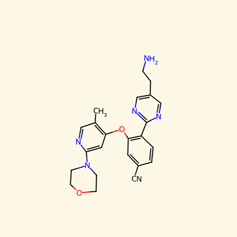 Cc1cnc(N2CCOCC2)cc1Oc1cc(C#N)ccc1-c1ncc(CCN)cn1